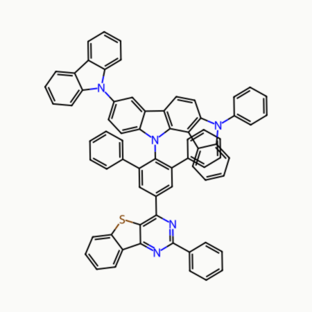 c1ccc(-c2nc(-c3cc(-c4ccccc4)c(-n4c5ccc(-n6c7ccccc7c7ccccc76)cc5c5ccc6c(c7ccccc7n6-c6ccccc6)c54)c(-c4ccccc4)c3)c3sc4ccccc4c3n2)cc1